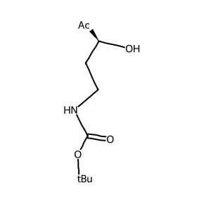 CC(=O)[C@@H](O)CCNC(=O)OC(C)(C)C